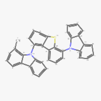 N#Cc1cccc2c3ccccc3n(-c3cccc4sc5c(-n6c7ccccc7c7ccccc76)cccc5c34)c12